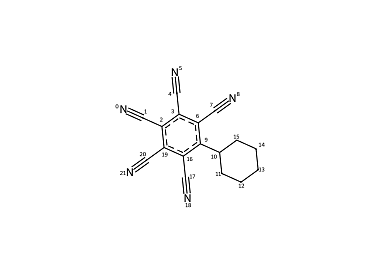 N#Cc1c(C#N)c(C#N)c(C2CCCCC2)c(C#N)c1C#N